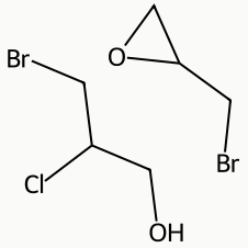 BrCC1CO1.OCC(Cl)CBr